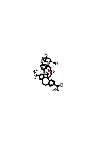 C[C@H](CC1(C(=N)Nc2ccc(F)cc2)c2ccc(C(=O)N(C)C)cc2CCc2cc(C(=O)N(C)C)ccc21)NCC(=O)N1[C@H](C#N)C[C@@H]2C[C@@H]21